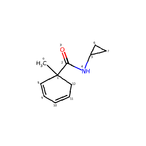 CC1(C(=O)NC2CC2)C=CC=CC1